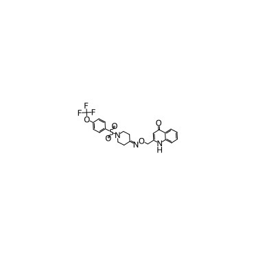 O=c1cc(CON=C2CCN(S(=O)(=O)c3ccc(OC(F)(F)F)cc3)CC2)[nH]c2ccccc12